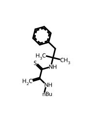 C=C(NCCCC)C(=S)NC(C)(C)Cc1ccccc1